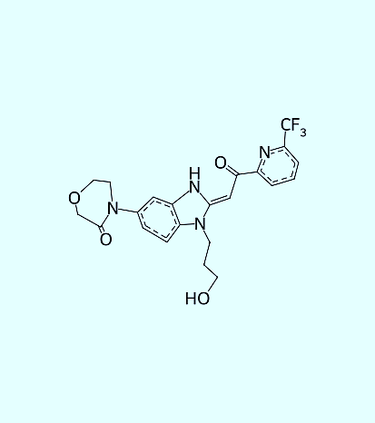 O=C(/C=C1\Nc2cc(N3CCOCC3=O)ccc2N1CCCO)c1cccc(C(F)(F)F)n1